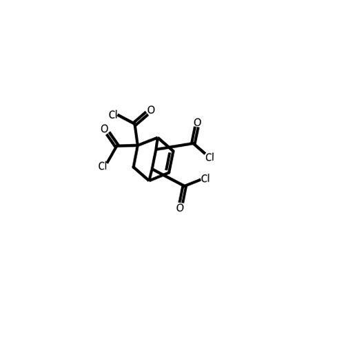 O=C(Cl)C1C2C=CC(C1C(=O)Cl)C(C(=O)Cl)(C(=O)Cl)C2